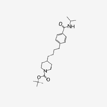 CC(C)NC(=O)c1ccc(CCCCC2CCN(C(=O)OC(C)(C)C)CC2)cc1